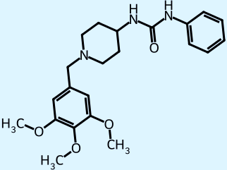 COc1cc(CN2CCC(NC(=O)Nc3ccccc3)CC2)cc(OC)c1OC